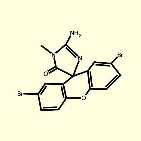 CN1C(=O)C2(N=C1N)c1cc(Br)ccc1Oc1ccc(Br)cc12